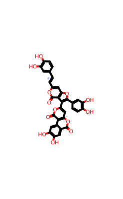 O=c1oc2cc(-c3c(-c4ccc(O)c(O)c4)oc4cc(/C=C/c5ccc(O)c(O)c5)oc(=O)c34)oc(=O)c2c2cc(O)c(O)cc12